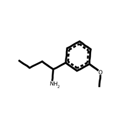 CCCC(N)c1cccc(OC)c1